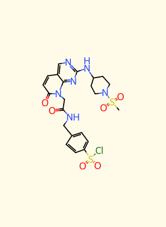 CS(=O)(=O)N1CCC(Nc2ncc3ccc(=O)n(CC(=O)NCc4ccc(S(=O)(=O)Cl)cc4)c3n2)CC1